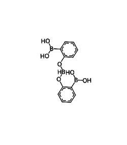 OB(O)c1ccccc1OBOc1ccccc1B(O)O